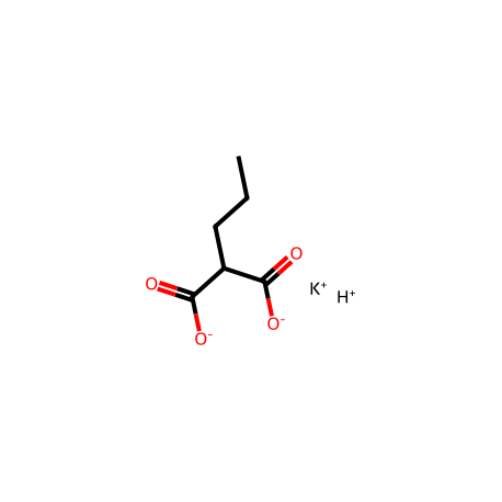 CCCC(C(=O)[O-])C(=O)[O-].[H+].[K+]